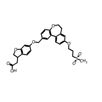 CS(=O)(=O)CCCOc1ccc2c(c1)CCOc1ccc(COc3ccc4c(c3)OCC4CC(=O)O)cc1-2